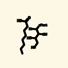 CCCCCC(CC)C(O)C(O)CO.CCCCCCCC(=O)O